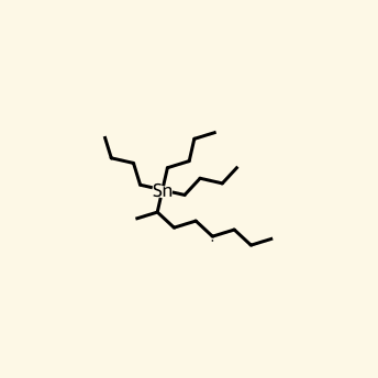 CCC[CH]CC[CH](C)[Sn]([CH2]CCC)([CH2]CCC)[CH2]CCC